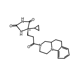 O=C1NC(=O)[C@](CCC(=O)N2CCN3c4ccccc4CCC3C2)(C2CC2)N1